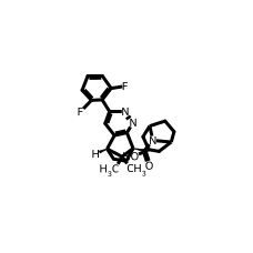 CC1(C)[C@@H]2CC[C@@]1(C(=O)N1C3CCC1CC(O)C3)c1nnc(-c3c(F)cccc3F)cc12